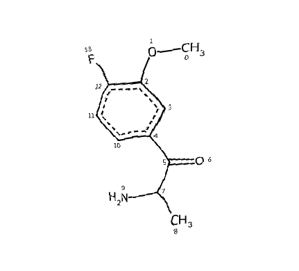 COc1cc(C(=O)C(C)N)ccc1F